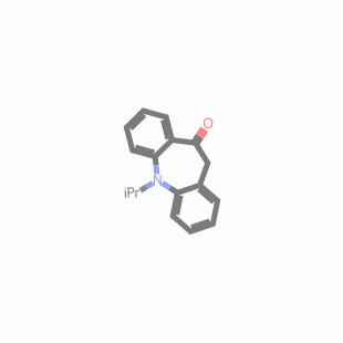 CC(C)N1c2ccccc2CC(=O)c2ccccc21